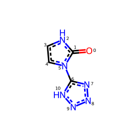 O=c1[nH]ccn1-c1nnn[nH]1